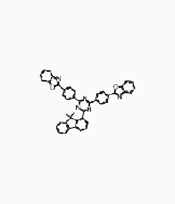 CC1(C)c2ccccc2-c2cccc(-c3nc(-c4ccc(-c5nc6ccccc6o5)cc4)nc(-c4ccc(-c5nc6ccccc6o5)cc4)n3)c21